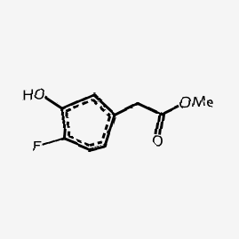 COC(=O)Cc1ccc(F)c(O)c1